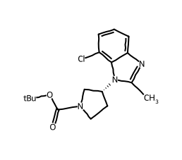 Cc1nc2cccc(Cl)c2n1[C@@H]1CCN(C(=O)OC(C)(C)C)C1